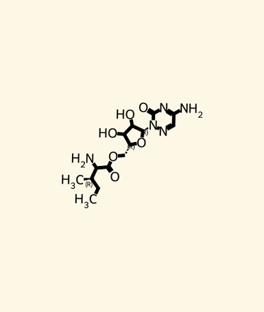 CC[C@@H](C)C(N)C(=O)OC[C@H]1O[C@@H](n2ncc(N)nc2=O)C(O)C1O